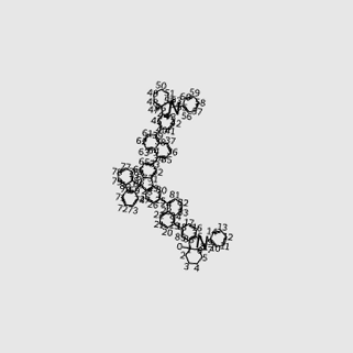 CC12CCCCC1(C)N(c1ccccc1)c1ccc(-c3cccc4c(-c5ccc6c(c5)-c5cc(-c7cccc8c(-c9ccc%10c(c9)C9(C)CCCCC9(C)N%10c9ccccc9)cccc78)ccc5C6(c5ccccc5)c5ccccc5)cccc34)cc12